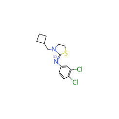 Clc1ccc(/N=C2\SCCN2CC2CCC2)cc1Cl